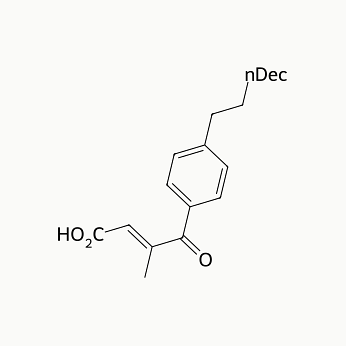 CCCCCCCCCCCCc1ccc(C(=O)C(C)=CC(=O)O)cc1